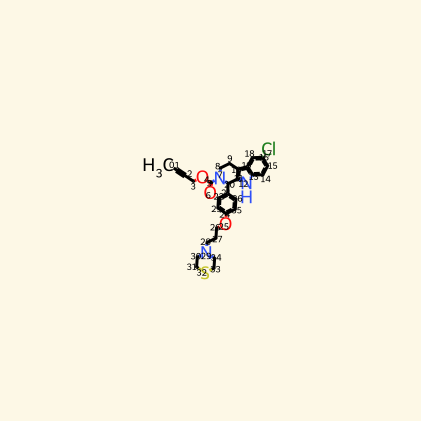 CC#CCOC(=O)N1CCc2c([nH]c3ccc(Cl)cc23)C1c1ccc(OCCCN2CCSCC2)cc1